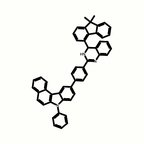 CC1(C)c2ccccc2-c2c(C3NC(c4ccc(-c5ccc6c(c5)c5c7ccccc7ccc5n6-c5ccccc5)cc4)=Nc4ccccc43)cccc21